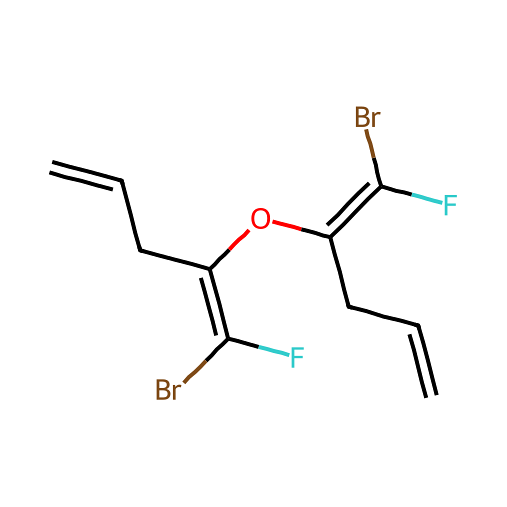 C=CCC(OC(CC=C)=C(F)Br)=C(F)Br